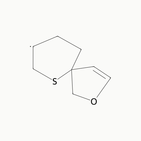 [CH]1CCC2(C=COC2)SC1